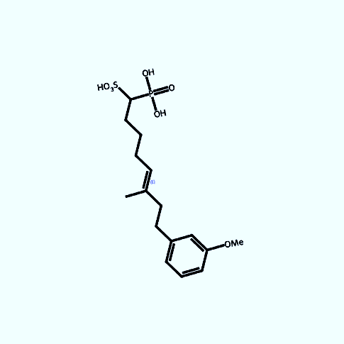 COc1cccc(CC/C(C)=C/CCCC(P(=O)(O)O)S(=O)(=O)O)c1